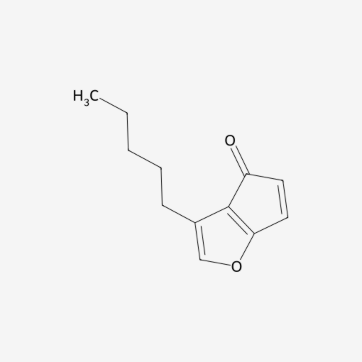 CCCCCc1coc2c1C(=O)C=C2